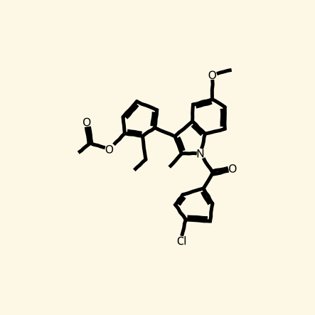 CCc1c(OC(C)=O)cccc1-c1c(C)n(C(=O)c2ccc(Cl)cc2)c2ccc(OC)cc12